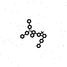 CC1(C)c2cc(-c3ccc(N(c4ccc(-c5ccccc5)cc4)c4ccc(-c5ccccc5)cc4)c4ccccc34)ccc2-c2c(-c3ccc(-c4ccccc4)cc3)cccc21